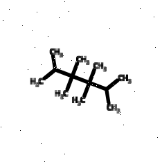 C[C](C)C(C)(C)C(C)(C)C(C)C